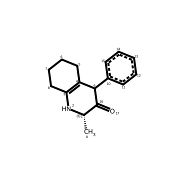 C[C@@H]1NC2=C(CCCC2)C(c2ccccc2)C1=O